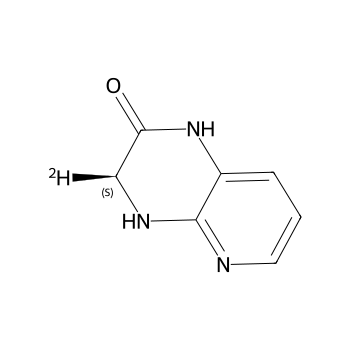 [2H][C@@H]1Nc2ncccc2NC1=O